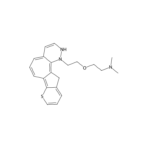 CN(C)CCOCCN1NC=CC2=CC=CC3=C4SC=CC=C4CC3=C21